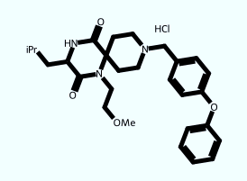 COCCN1C(=O)C(CC(C)C)NC(=O)C12CCN(Cc1ccc(Oc3ccccc3)cc1)CC2.Cl